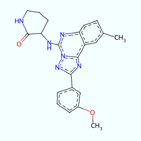 COc1cccc(-c2nc3c4cc(C)ccc4nc(NC4CCCNC4=O)n3n2)c1